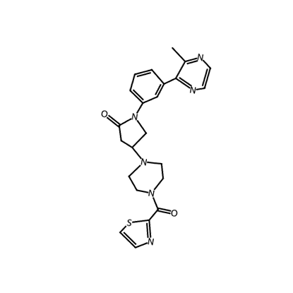 Cc1nccnc1-c1cccc(N2CC(N3CCN(C(=O)c4nccs4)CC3)CC2=O)c1